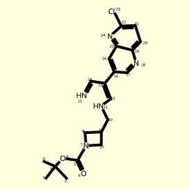 CC(C)(C)OC(=O)N1CC(CN/C=C(\C=N)c2cnc3ccc(Cl)nc3c2)C1